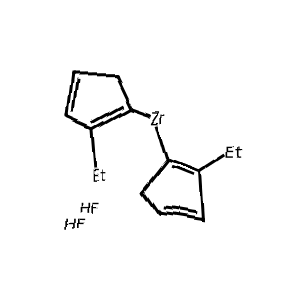 CCC1=[C]([Zr][C]2=C(CC)C=CC2)CC=C1.F.F